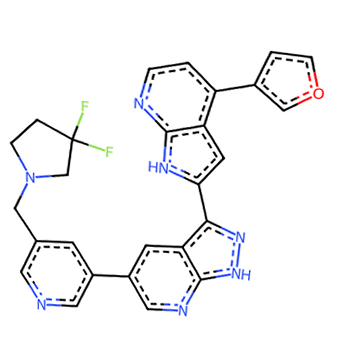 FC1(F)CCN(Cc2cncc(-c3cnc4[nH]nc(-c5cc6c(-c7ccoc7)ccnc6[nH]5)c4c3)c2)C1